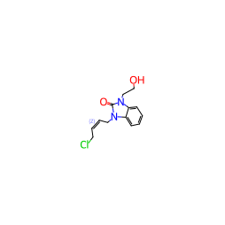 O=c1n(C/C=C\CCl)c2ccccc2n1CCO